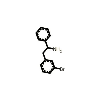 NC(Cc1cccc(Br)c1)c1ccccc1